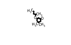 C=C(CCC)OC1=CC(=O)CC(C)(C)C1